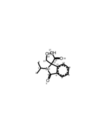 CC(C)N1C(=O)c2ccccc2C1(CO)C(=O)O